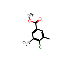 CCCOC(=O)c1cc(C)c(Cl)c([N+](=O)[O-])c1